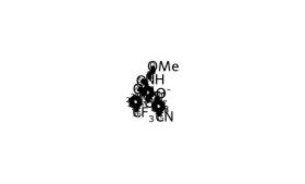 COCCNC(=O)c1cc([S+]([O-])c2ccc(C#N)cc2)c(C)n(-c2cccc(C(F)(F)F)c2)c1=O